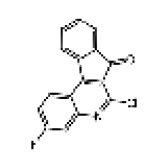 O=C1c2ccccc2-c2c1c(Cl)nc1cc(F)ccc21